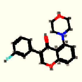 O=c1c(-c2cccc(F)c2)coc2cccc(N3CCOCC3)c12